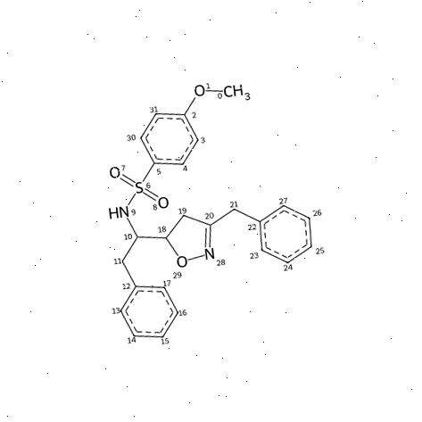 COc1ccc(S(=O)(=O)NC(Cc2ccccc2)C2CC(Cc3ccccc3)=NO2)cc1